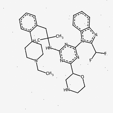 CCN1CCC(c2ccccc2CC(C)(C)Nc2nc(C3CNCCO3)nc(-n3c(C(F)F)nc4ccccc43)n2)CC1